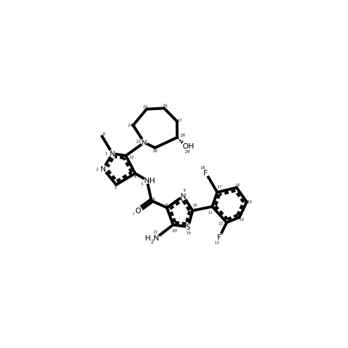 Cn1ncc(NC(=O)c2nc(-c3c(F)cccc3F)sc2N)c1N1CCCC[C@H](O)C1